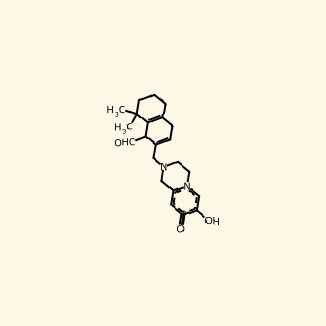 CC1(C)CCCC2=C1C(C=O)C(CN1CCn3cc(O)c(=O)cc3C1)=CC2